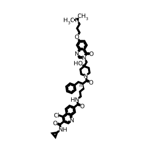 CN(C)CCCOc1ccc2c(=O)n(CC3(O)CCN(C(=O)[C@@H](CCCNC(=O)c4ccc5c(Cl)c(C(=O)NC6CC6)cnc5c4)Cc4ccccc4)CC3)cnc2c1